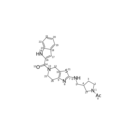 CC(=O)N1CCC(CNc2nc3c(s2)CN(C(=O)c2cc4ccccc4[nH]2)CC3)C1